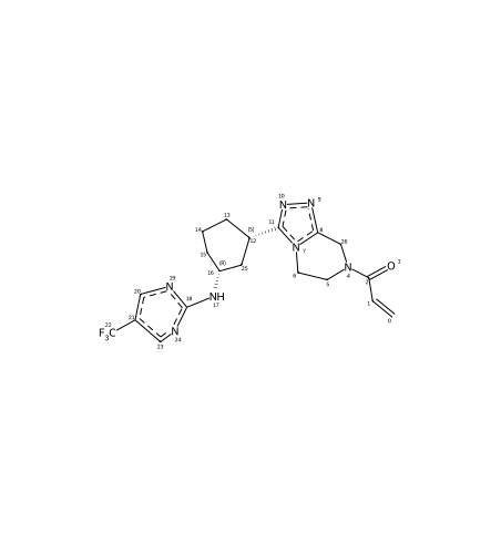 C=CC(=O)N1CCn2c(nnc2[C@H]2CCC[C@@H](Nc3ncc(C(F)(F)F)cn3)C2)C1